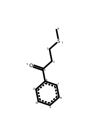 CSCCC(=O)c1ccccc1